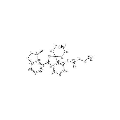 C[C@@H]1CCc2ncnc(N3CC4(CCNCC4)c4c(CNCCO)cccc43)c21